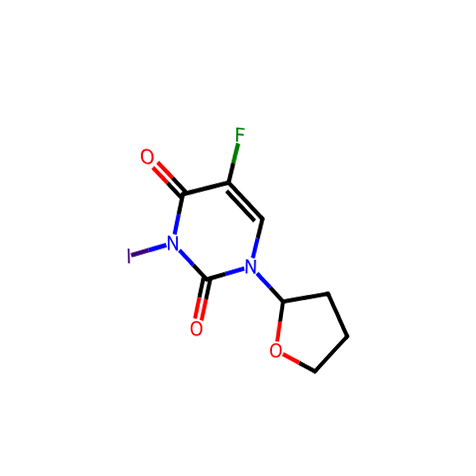 O=c1c(F)cn(C2CCCO2)c(=O)n1I